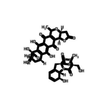 CC1O[C@H]2CC(=O)O[C@H]2C2=C1C(=O)c1c(O)c3c(c(O)c1C2=O)[C@@H]1C[C@@H](O)[C@@]3(O)[C@@H](C)O1.CN1C(=O)[C@]23CC4=CC=C[C@H](O)[C@H]4N2C(=O)[C@@]1(CO)SS3